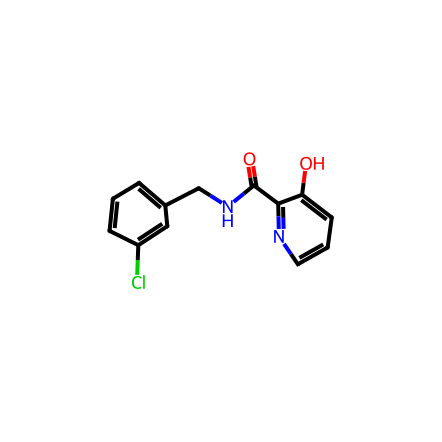 O=C(NCc1cccc(Cl)c1)c1ncccc1O